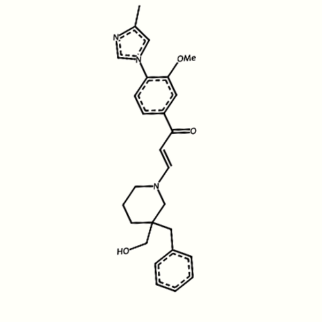 COc1cc(C(=O)/C=C/N2CCCC(CO)(Cc3ccccc3)C2)ccc1-n1cnc(C)c1